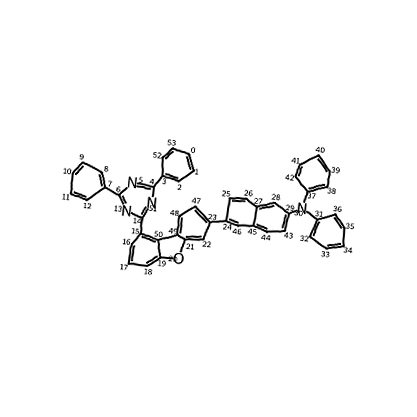 c1ccc(-c2nc(-c3ccccc3)nc(-c3cccc4oc5cc(-c6ccc7cc(N(c8ccccc8)c8ccccc8)ccc7c6)ccc5c34)n2)cc1